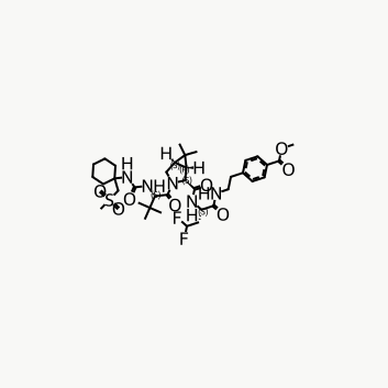 COC(=O)c1ccc(CCNC(=O)[C@H](CC(F)F)NC(=O)[C@@H]2[C@@H]3[C@H](CN2C(=O)[C@@H](NC(=O)NC2(CS(C)(=O)=O)CCCCC2)C(C)(C)C)C3(C)C)cc1